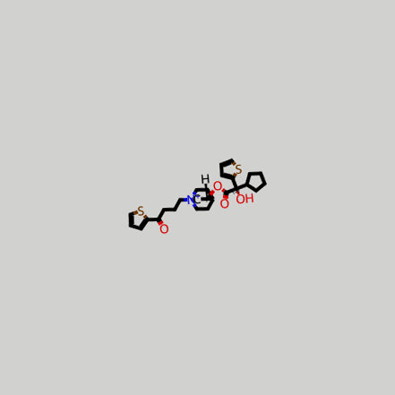 O=C(CCC[N+]12CCC(CC1)[C@@H](OC(=O)[C@](O)(c1cccs1)C1CCCC1)C2)c1cccs1